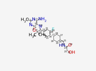 Cc1nc(N)c2c(n1)OC(C)(C)C(c1ccc([C@H]3CC[C@H](CNC(=O)CO)CC3)c(F)c1)=N2